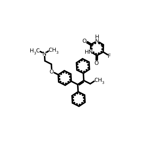 CC/C(=C(\c1ccccc1)c1ccc(OCCN(C)C)cc1)c1ccccc1.O=c1[nH]cc(F)c(=O)[nH]1